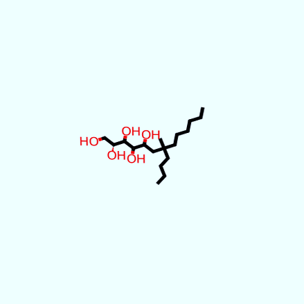 CCCCCCC(C)(CCCC)CC(O)C(O)C(O)[C@H](O)CO